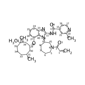 C=CC(=O)N1CCCC[C@@H](n2c(NC(=O)c3ccnc(C)c3)nc3cccc(O[C@@H]4CC(C)CCCC(C)(C)C4)c32)C1